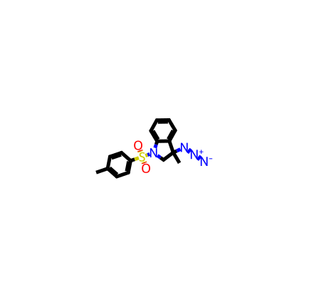 Cc1ccc(S(=O)(=O)N2CC(C)(N=[N+]=[N-])c3ccccc32)cc1